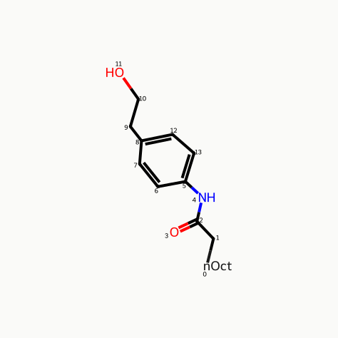 CCCCCCCCCC(=O)Nc1ccc(CCO)cc1